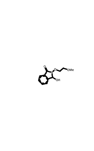 COCCON1C(=O)c2ccccc2C1O